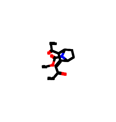 COC(=O)C=C1C(C(=O)OC)C2CCC1N2C(=O)OC(C)(C)C